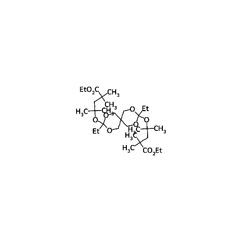 CCOC(=O)C(C)(C)CC(C)(C)OC1(CC)OCC2(CO1)COC(CC)(OC(C)(C)CC(C)(C)C(=O)OCC)OC2